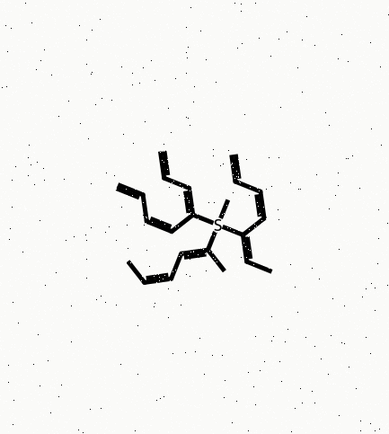 C=C/C=C\C(=C/C)S(C)(/C(C)=C/C=C\C)C(/C=C\C=C)=C/C=C